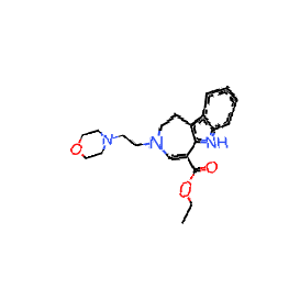 CCOC(=O)C1=CN(CCN2CCOCC2)CCc2c1[nH]c1ccccc21